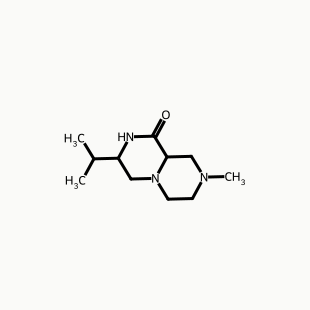 CC(C)C1CN2CCN(C)CC2C(=O)N1